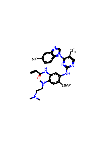 C=CC(=O)Nc1cc(Nc2ncc(C(F)(F)F)c(-n3cnc4cc(C#N)ccc43)n2)c(OC)cc1N(C)CCN(C)C